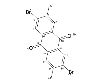 Cc1cc2c(cc1Br)C(=O)c1cc(C)c(Br)cc1C2=O